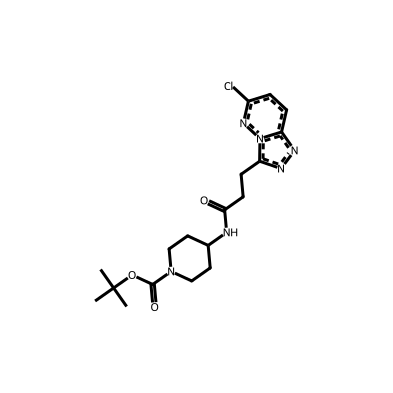 CC(C)(C)OC(=O)N1CCC(NC(=O)CCc2nnc3ccc(Cl)nn23)CC1